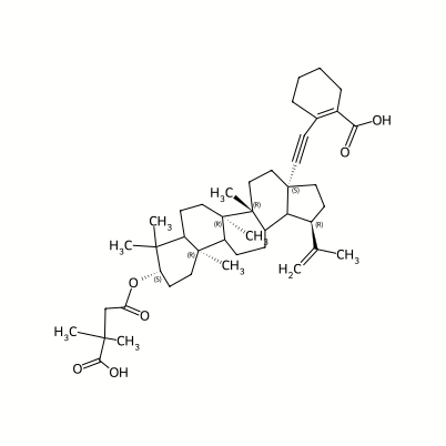 C=C(C)[C@@H]1CC[C@]2(C#CC3=C(C(=O)O)CCCC3)CC[C@]3(C)C(CCC4[C@@]5(C)CC[C@H](OC(=O)CC(C)(C)C(=O)O)C(C)(C)C5CC[C@]43C)C12